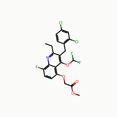 CCc1nc2c(F)ccc(OCC(=O)OC)c2c(OC(F)F)c1Cc1ccc(Cl)cc1Cl